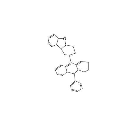 C1=CC2=C(C3CCC4OC5C=CC=CC5C4C3)C3=CCCCC3C(c3ccccc3)C2C=C1